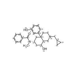 CN(C(=O)c1ccccc1)[C@H]1CC(O)C2CN(CC3CC3)CCC2(c2cccc(O)c2)C1